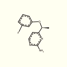 C[C@H](Oc1cccc(F)c1)c1ccnc(N)n1